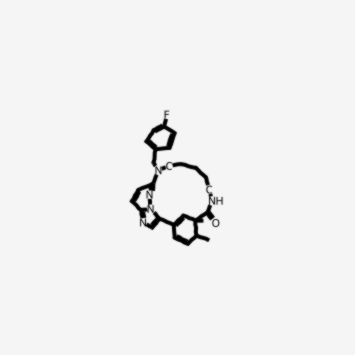 CC1C=CC2=CC1(C)C(=O)NCCCCCN(Cc1ccc(F)cc1)c1ccc3ncc2n3n1